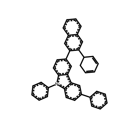 C1=CCC(c2cc3ccccc3cc2-c2ccc3c(c2)c2cc(-c4ccccc4)ccc2n3-c2ccccc2)C=C1